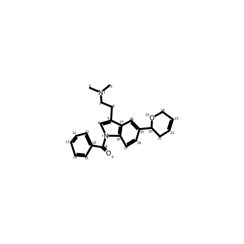 CN(C)CCc1cn(C(=O)c2ccccc2)c2ccc(C3CC=CCO3)cc12